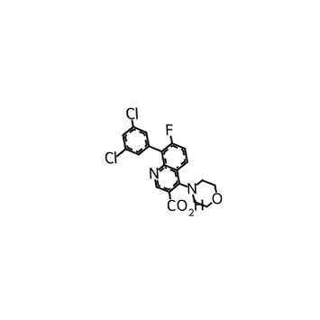 O=C(O)c1cnc2c(-c3cc(Cl)cc(Cl)c3)c(F)ccc2c1N1CCOCC1